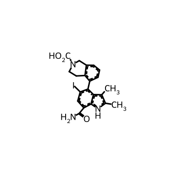 Cc1[nH]c2c(C(N)=O)cc(I)c(-c3cccc4c3CCN(C(=O)O)C4)c2c1C